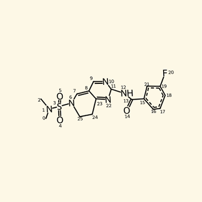 CN(C)S(=O)(=O)N1C=C2C=NC(NC(=O)c3cccc(F)c3)N=C2CC1